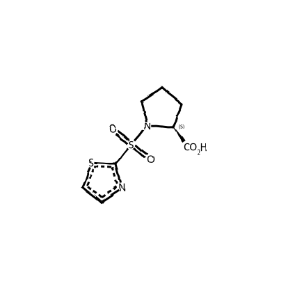 O=C(O)[C@@H]1CCCN1S(=O)(=O)c1nccs1